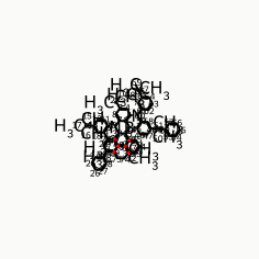 CC(C)c1cc2c3c(c1)N(c1ccc(C(C)(C)C)cc1-c1cc(-c4ccccc4)cc(-c4ccccc4)c1)c1cc4c(cc1B3c1ccc(C(C)(C)c3ccccc3)cc1N2c1cccc(C(C)(C)C)c1)C(C)(C)CCC4(C)C